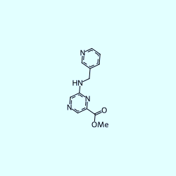 COC(=O)c1cncc(NCc2cccnc2)n1